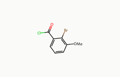 COc1cccc(C(=O)Cl)c1Br